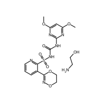 COc1cc(OC)nc(NC(=O)NS(=O)(=O)c2ncccc2C2=NOCCO2)n1.NCCO